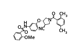 COc1ccccc1S(=O)(=O)Nc1cccc(O[C@@H]2CN(C(=O)c3cc(C)ccc3C)C[C@H]2C#N)c1